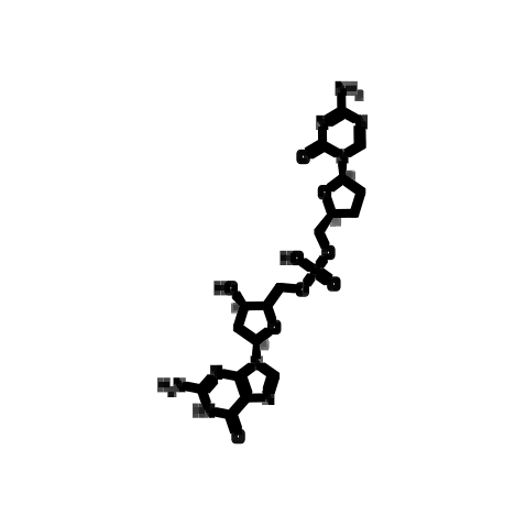 Nc1ncn([C@H]2CC[C@@H](COP(=O)(O)OCC3O[C@@H](n4cnc5c(=O)[nH]c(N)nc54)C[C@H]3O)O2)c(=O)n1